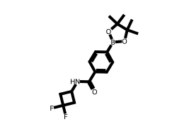 CC1(C)OB(c2ccc(C(=O)NC3CC(F)(F)C3)cc2)OC1(C)C